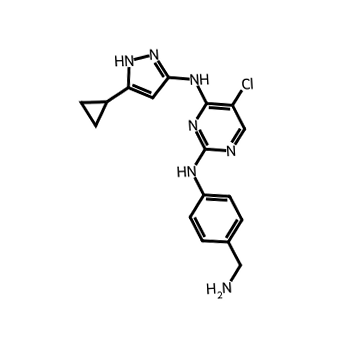 NCc1ccc(Nc2ncc(Cl)c(Nc3cc(C4CC4)[nH]n3)n2)cc1